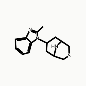 Cc1nc2ccccc2n1C1CC2CSCC(C1)N2